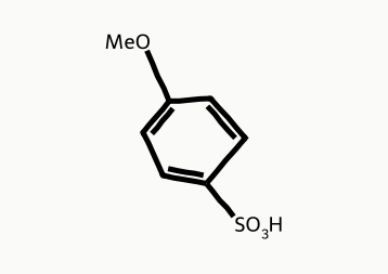 [CH2]Oc1ccc(S(=O)(=O)O)cc1